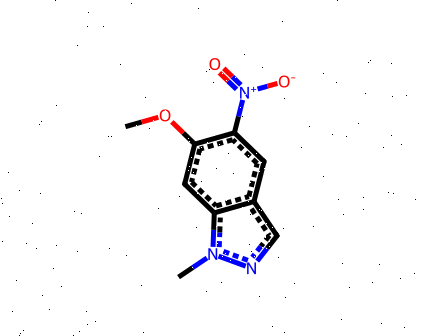 COc1cc2c(cnn2C)cc1[N+](=O)[O-]